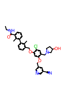 CCNC(=O)c1cccc(-c2cccc(COc3cc(OCc4cncc(C#N)c4)c(CN4CCC(O)C4)cc3Cl)c2C)c1C